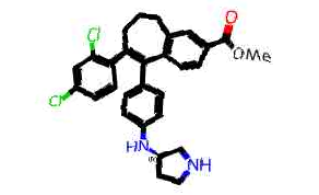 COC(=O)c1ccc2c(c1)CCCC(c1ccc(Cl)cc1Cl)=C2c1ccc(N[C@@H]2CCNC2)cc1